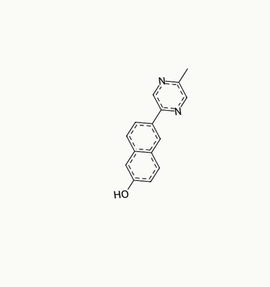 Cc1cnc(-c2ccc3cc(O)ccc3c2)cn1